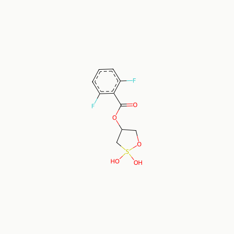 O=C(OC1COS(O)(O)C1)c1c(F)cccc1F